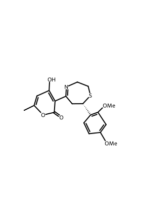 COc1ccc([C@@H]2CC(c3c(O)cc(C)oc3=O)=NCCS2)c(OC)c1